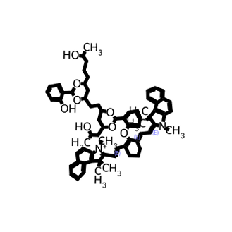 CC(O)CCCC1CC(CCC2CC(CC(C)O)OC(c3ccccc3OC3=C(/C=C/C4=[N+](C)c5ccc6ccccc6c5C4(C)C)CCC/C3=C\C=C3\N(C)c4ccc5ccccc5c4C3(C)C)O2)OC(c2ccccc2O)O1